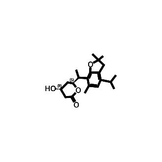 Cc1cc(C(C)C)c2c(c1C(C)[C@@H]1C[C@@H](O)CC(=O)O1)OC(C)(C)C2